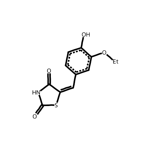 CCOc1cc(C=C2SC(=O)NC2=O)ccc1O